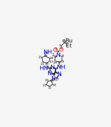 CCCCC(CC)COC(=O)N1CCC(Nc2nc(N[C@H]3CC[C@H](N)CC3)nc3c2ncn3C2CCCC2)CC1